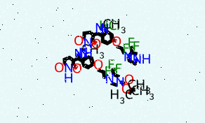 Cl.Cn1nc(C2CCC(=O)NC2=O)c2ccc(OCCCN3CCN(C(=O)OC(C)(C)C)CC3C(F)(F)F)cc21.Cn1nc(C2CCC(=O)NC2=O)c2ccc(OCCCN3CCNCC3C(F)(F)F)cc21